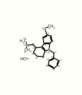 COc1ccc2c(c1)c1c(n2Cc2ccccc2)CCCC1CN(C)C.Cl